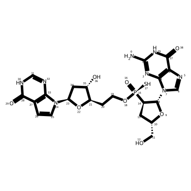 Nc1nc2c(ncn2[C@@H]2O[C@H](CO)C[C@H]2[P@](=O)(S)OCC[C@H]2O[C@@H](n3ccc4c(=O)[nH]cnc43)C[C@@H]2O)c(=O)[nH]1